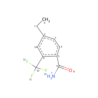 CCc1ccc(C(N)=O)c(C(F)(F)F)c1